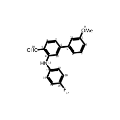 COc1cccc(-c2ccc(C=O)c(Nc3ccc(F)cc3)c2)c1